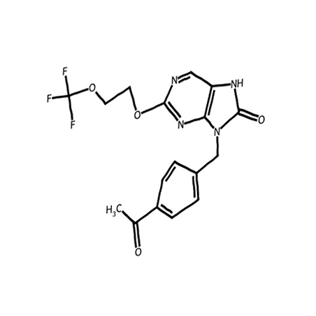 CC(=O)c1ccc(Cn2c(=O)[nH]c3cnc(OCCOC(F)(F)F)nc32)cc1